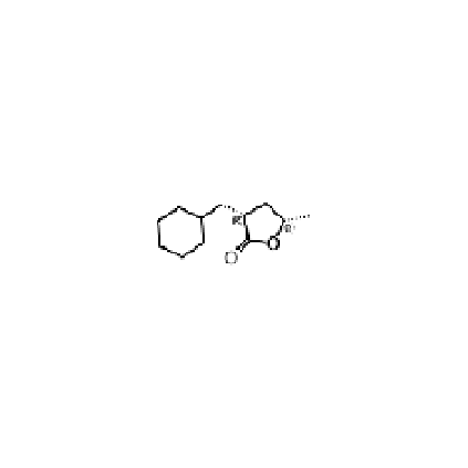 C[C@H]1C[C@@H](CC2CCCCC2)C(=O)O1